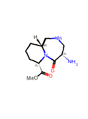 COC(=O)[C@@H]1CCC[C@@H]2CNC[C@H](N)C(=O)N21